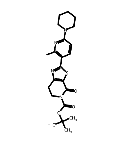 CC(C)(C)OC(=O)N1CCc2nc(-c3ccc(N4CCCCC4)nc3I)sc2C1=O